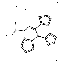 CN(C)C/C=C(\B(c1cccs1)c1cccs1)c1cccs1